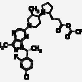 Cc1nn([C@H](C)c2ccc(Cl)cc2F)c2nc(N3CC[C@H](N4CCC[C@H]4CCC(=O)OC(=O)C(F)(F)F)[C@H](C)C3)cnc12